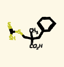 CC(CSC(=S)S)(Cc1ccccc1)C(=O)O